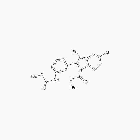 CCc1c(-c2ccnc(NC(=O)OC(C)(C)C)c2)n(C(=O)OC(C)(C)C)c2ccc(Cl)cc12